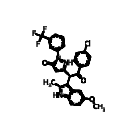 COc1ccc2[nH]c(C)c(C(C(=O)c3ccc(Cl)cc3)c3cc(=O)n(-c4cccc(C(F)(F)F)c4)[nH]3)c2c1